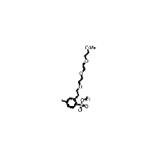 CCOS(=O)(=O)c1ccc(C)cc1CCOCCOCCOCCOC